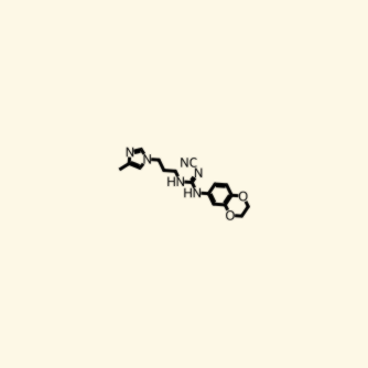 Cc1cn(CCCNC(=NC#N)Nc2ccc3c(c2)OCCO3)cn1